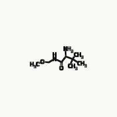 COCNC(=O)C(N)C(C)(C)C